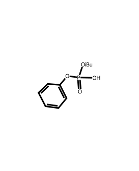 CC(C)COP(=O)(O)Oc1ccccc1